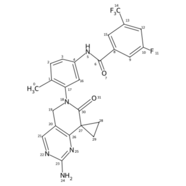 Cc1ccc(NC(=O)c2cc(F)cc(C(F)(F)F)c2)cc1N1Cc2cnc(N)nc2C2(CC2)C1=O